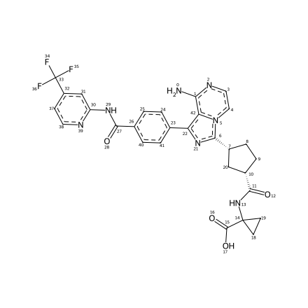 Nc1nccn2c([C@@H]3CC[C@H](C(=O)NC4(C(=O)O)CC4)C3)nc(-c3ccc(C(=O)Nc4cc(C(F)(F)F)ccn4)cc3)c12